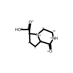 O=C(O)C1CCC2C(=O)NCCN12